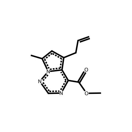 C=CCc1cc(C)n2ncnc(C(=O)OC)c12